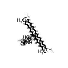 CCCCCCCCCCCCCCCCCC.CCCCCCCCCCCCCCCCCC.OP(O)(O)=S.OP(O)(O)=S.[Cu]